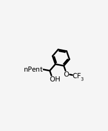 CCCCCC(O)c1ccccc1OC(F)(F)F